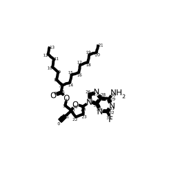 C#CC1(COC(=O)C(CCCCCC)CCCCCCCC)CCC(n2cnc3c(N)nc(F)nc32)O1